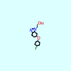 OCCn1[c]nc2ccc(Oc3ccc(F)cc3)cc21